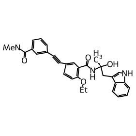 CCOc1ccc(C#Cc2cccc(C(=O)NC)c2)cc1C(=O)N[C@](C)(O)Cc1c[nH]c2ccccc12